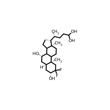 C[C@H](CCC(O)O)[C@H]1CCC2C3C(CC[C@@]21C)[C@@]1(C)CC(F)(F)[C@H](O)C[C@H]1C[C@@H]3O